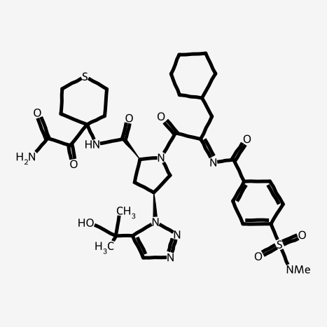 CNS(=O)(=O)c1ccc(C(=O)/N=C(\CC2CCCCC2)C(=O)N2C[C@@H](n3nncc3C(C)(C)O)C[C@H]2C(=O)NC2(C(=O)C(N)=O)CCSCC2)cc1